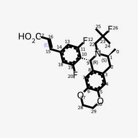 C[C@H]1Cc2cc3c(cc2[C@H](c2c(F)cc(/C=C/C(=O)O)cc2F)N1CC(C)(C)F)OCCO3